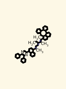 C=CC(=C\C=C(/C)c1ccc(-c2cnc(-c3ccccc3)c(-c3ccccc3)n2)c2ccccc12)/C(C)=C/c1ccc2cccc3c4ccccc4c4ccccc4c(=C)c1c23